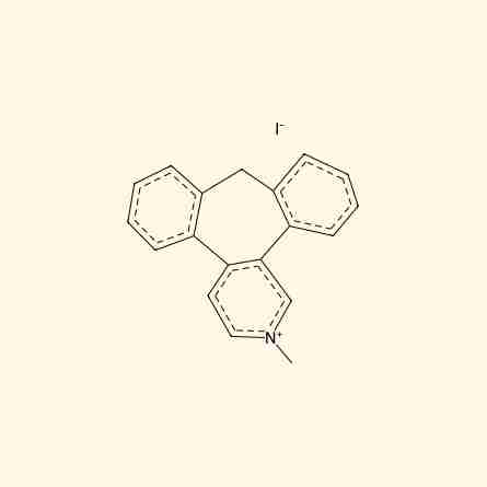 C[n+]1ccc2c(c1)-c1ccccc1Cc1ccccc1-2.[I-]